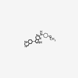 COC1CCC(Nc2ncc3c(-c4ccc5ncncc5c4)c[nH]c3n2)CC1